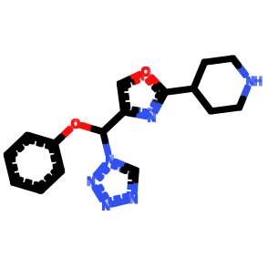 c1ccc(OC(c2coc(C3CCNCC3)n2)n2cnnn2)cc1